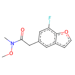 CON(C)C(=O)Cc1cc(F)c2occc2c1